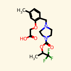 Cc1ccc(CN2CCN(C(=O)OC(C)C(F)(F)F)CC2)c(OCC(=O)O)c1